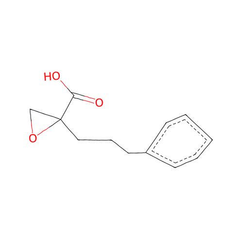 O=C(O)C1(CCCc2ccccc2)CO1